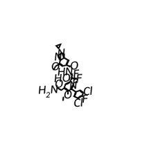 CCOc1c(CC(N)=O)cc([C@@](O)(CNC(=O)c2cc(OC)c3nn(C4CC4)cc3c2)C(F)(F)F)nc1-c1cc(Cl)c(F)c(Cl)c1